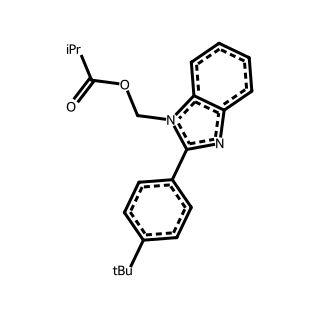 CC(C)C(=O)OCn1c(-c2ccc(C(C)(C)C)cc2)nc2ccccc21